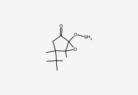 CC(C)(C)C1(C)CC(=O)C2(O[SiH3])OC21C